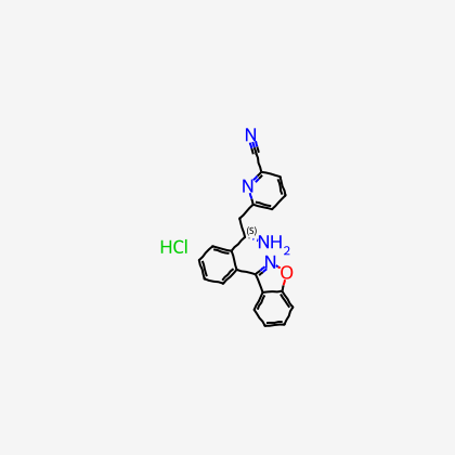 Cl.N#Cc1cccc(C[C@H](N)c2ccccc2-c2noc3ccccc23)n1